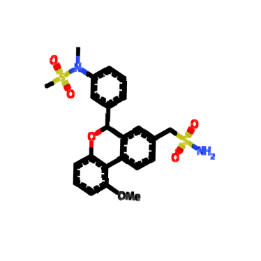 COc1cccc2c1-c1ccc(CS(N)(=O)=O)cc1C(c1cccc(N(C)S(C)(=O)=O)c1)O2